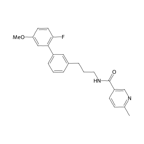 COc1ccc(F)c(-c2cccc(CCCNC(=O)c3ccc(C)nc3)c2)c1